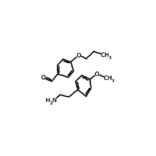 CCCOc1ccc(C=O)cc1.COc1ccc(CCN)cc1